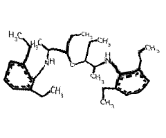 CCc1cccc(CC)c1NC(C)C(CC)OC(CC)C(C)Nc1c(CC)cccc1CC